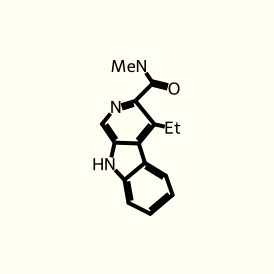 CCc1c(C(=O)NC)ncc2[nH]c3ccccc3c12